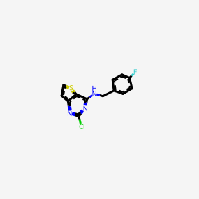 Fc1ccc(CNc2nc(Cl)nc3ccsc23)cc1